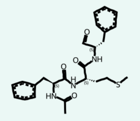 CSCC[C@H](NC(=O)[C@H](Cc1ccccc1)NC(C)=O)C(=O)N[C@H](C=O)Cc1ccccc1